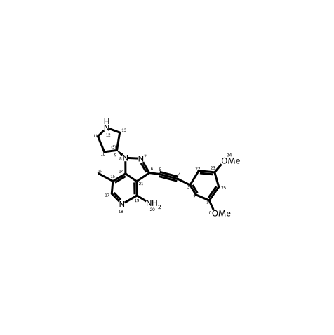 COc1cc(C#Cc2nn([C@H]3CCNC3)c3c(C)cnc(N)c23)cc(OC)c1